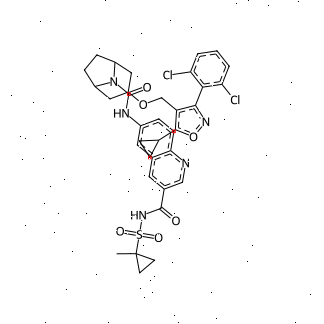 CC1(S(=O)(=O)NC(=O)c2cnc3ccc(NC(=O)N4C5CCC4CC(OCc4c(-c6c(Cl)cccc6Cl)noc4C4CC4)C5)cc3c2)CC1